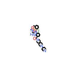 Cc1cccc(Cl)c1S(=O)(=O)N(C)Cc1nc2cccc(C(=O)N3CCC4(CC3)CCN(c3ccncc3)CC4)c2[nH]1